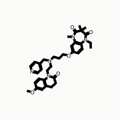 CCN1C(=O)C(C)(C)C(=O)N(C)c2cc(OCCCN(CCN3C(=O)CCc4cc(OC)ccc43)Cc3ccncc3)ccc21